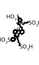 CC1(C)C(/C=C/C2=C(Oc3ccccc3)C(=C/C=C3/N(CCCCS(=O)(=O)O)c4ccc(S(=O)(=O)O)cc4C3(C)C)/CCC2)=[N+](CCCCS(=O)(=O)O)c2ccc(S(=O)(=O)O)cc21